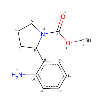 CC(C)(C)OC(=O)N1CCCC1c1ccccc1N